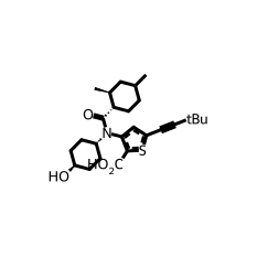 CC1CC[C@H](C(=O)N(c2cc(C#CC(C)(C)C)sc2C(=O)O)[C@H]2CC[C@H](O)CC2)[C@@H](C)C1